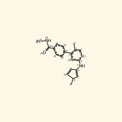 Cc1cnc(NC2=CC(C)C=C2)nc1-c1ccc(C(=O)NC(C)C)cc1